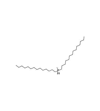 CCCCCCCCCCCCCC[PH](C)(C)CCCCCCCCCCCCCC